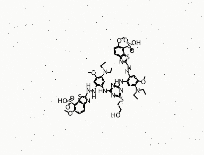 CCN(CC)c1cc(Nc2nc(Nc3cc(N(CC)CC)c(OC)cc3NNc3nc4ccc(OC)c(S(=O)(=O)O)c4s3)nc(SCCO)n2)c(/N=N/c2nc3ccc(OC)c(S(=O)(=O)O)c3s2)cc1OC